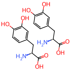 N[C@@H](Cc1ccc(O)c(O)c1)C(=O)O.N[C@@H](Cc1ccc(O)c(O)c1)C(=O)O